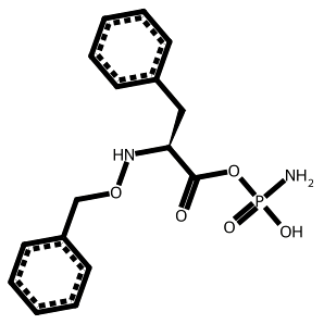 NP(=O)(O)OC(=O)[C@H](Cc1ccccc1)NOCc1ccccc1